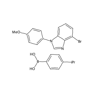 CC(C)c1ccc(B(O)O)cc1.COc1ccc(-n2cnc3c(Br)cccc32)cc1